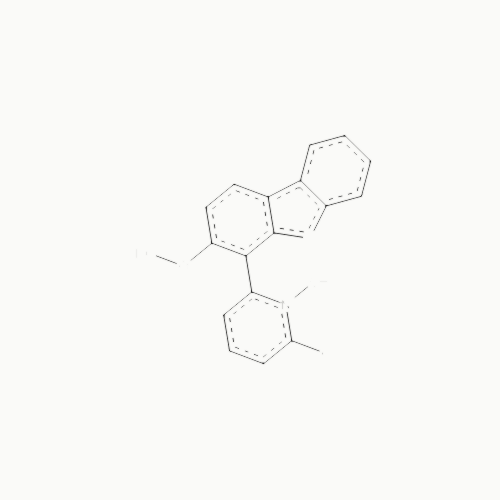 COc1ccc2c(oc3ccccc32)c1-c1cccc(C)[n+]1C